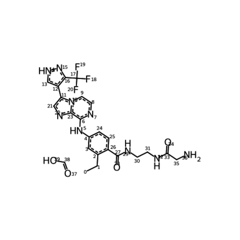 CCc1cc(Nc2nccn3c(-c4c[nH]nc4C(F)(F)F)cnc23)ccc1C(=O)NCCNC(=O)CN.O=CO